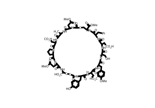 COC(=O)CC1NC(=O)CCC(C(=O)OC)NC(=O)C(CC(C)C)NC(=O)C(CC(=O)O)NC(=O)C(CO)NC(=O)C(Cc2ccc(OC)cc2)NC(=O)C(CC(=O)O)NC(=O)C(Cc2ccc(O)cc2)NC(=O)CCC(C(=O)O)NC(=O)C(CC(=O)OC)NC(=O)C2CCCN2C(=O)C(CC(=O)O)NC(=O)C(C)NC1=O